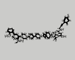 CNc1nnc(-c2ccccc2O)cc1N1CCN(c2ncc(C3CCN([C@H]4CC5(CC[C@H](C(=O)N[C@H](C(=O)N6C[C@H](O)C[C@H]6C(=O)NCC#Cc6ccc(F)cc6C)C(C)(C)C)CC5)C4)CC3)cn2)CC1